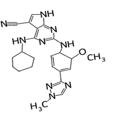 COC1C=C(c2ncn(C)n2)C=CC1Nc1nc(NC2CCCCC2)c2c(C#N)c[nH]c2n1